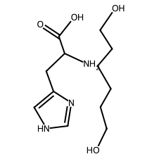 NC(Cc1c[nH]cn1)C(=O)O.OCCCCCCO